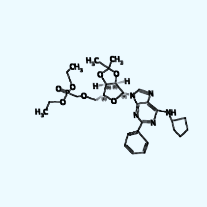 CCOP(=O)(COC[C@H]1O[C@@H](n2cnc3c(NC4CCCC4)nc(-c4ccccc4)nc32)[C@@H]2OC(C)(C)O[C@@H]21)OCC